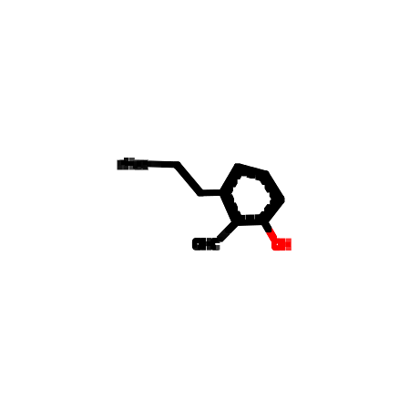 CCCCCCCCc1cccc(O)c1C=O